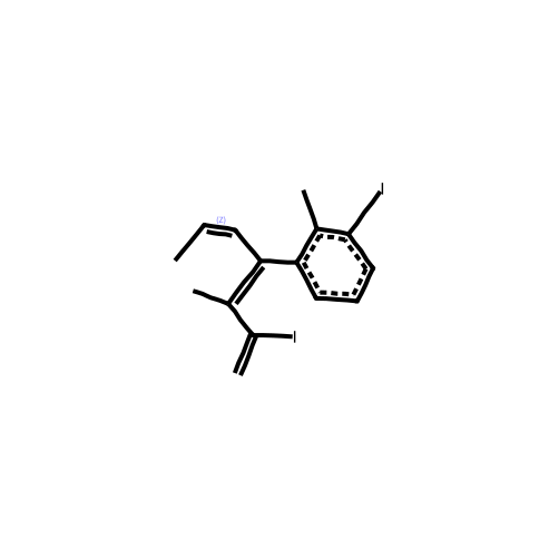 C=C(I)C(C)=C(/C=C\C)c1cccc(I)c1C